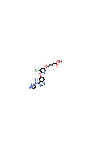 Cn1ccc(Nc2ncnc3ccc(Oc4ncc(OCCCCC(=O)O)cc4Cl)cc23)n1